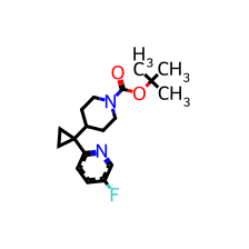 CC(C)(C)OC(=O)N1CCC(C2(c3ccc(F)cn3)CC2)CC1